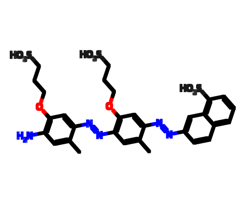 Cc1cc(N=Nc2cc(OCCCS(=O)(=O)O)c(N)cc2C)c(OCCCS(=O)(=O)O)cc1N=Nc1ccc2cccc(S(=O)(=O)O)c2c1